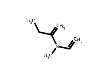 C=CN(C)C(=C)CC